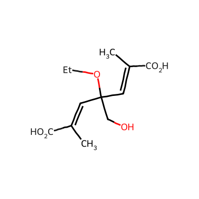 CCOC(C=C(C)C(=O)O)(C=C(C)C(=O)O)CO